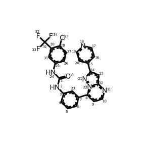 O=C(Nc1cccc(-c2ccnc3cc(-c4ccncc4)nn23)c1)Nc1ccc(Cl)c(C(F)(F)F)c1